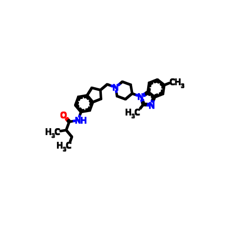 CCC(C)C(=O)Nc1ccc2c(c1)CC(CN1CCC(n3c(C)nc4cc(C)ccc43)CC1)C2